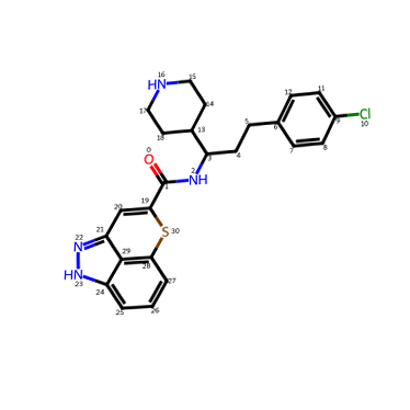 O=C(NC(CCc1ccc(Cl)cc1)C1CCNCC1)C1=Cc2n[nH]c3cccc(c23)S1